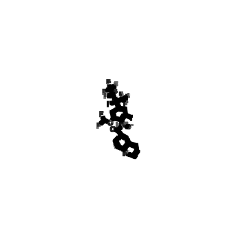 O=C(c1ccc2ncccc2c1)[NH+]([O-])c1c(I)cc(C(F)(C(F)(F)F)C(F)(F)C(F)(F)F)cc1OC(F)F